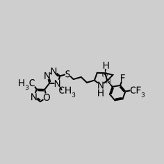 Cc1ncoc1-c1nnc(SCCCC2C[C@@H]3C[C@]3(c3cccc(C(F)(F)F)c3F)N2)n1C